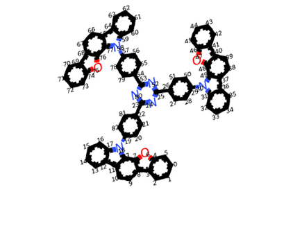 c1ccc2c(c1)oc1c2ccc2c3ccccc3n(-c3ccc(-c4nc(-c5ccc(-n6c7ccccc7c7ccc8c9ccccc9oc8c76)cc5)nc(-c5ccc(-n6c7ccccc7c7ccc8c9ccccc9oc8c76)cc5)n4)cc3)c21